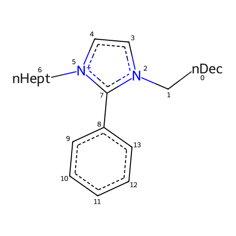 CCCCCCCCCCCn1cc[n+](CCCCCCC)c1-c1ccccc1